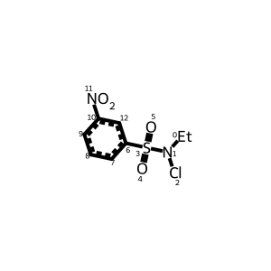 CCN(Cl)S(=O)(=O)c1cccc([N+](=O)[O-])c1